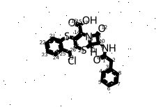 O=C(Cc1ccccc1)N[C@@H]1C(=O)N2C(C(=O)O)=C(Sc3ccccc3CCl)CS[C@@H]12